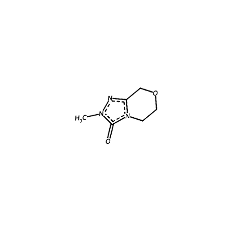 Cn1nc2n(c1=O)CCOC2